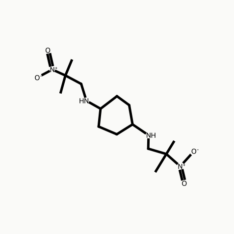 CC(C)(CNC1CCC(NCC(C)(C)[N+](=O)[O-])CC1)[N+](=O)[O-]